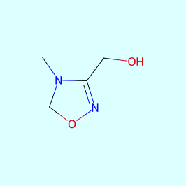 CN1CON=C1CO